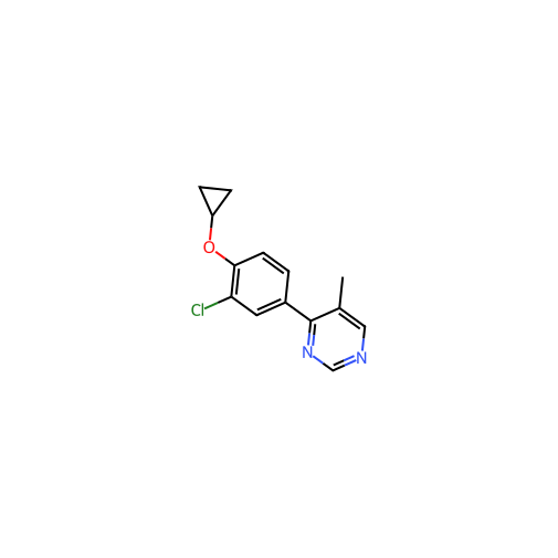 Cc1cncnc1-c1ccc(OC2CC2)c(Cl)c1